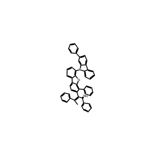 C/C(=C(\C(=N)c1ccccc1)c1ccc2c(oc3c(-n4c5ccccc5c5ccc(-c6ccccc6)cc54)cccc32)c1-c1ccccc1)c1ccccc1